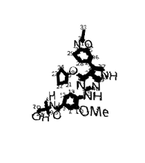 COc1cc(C(=O)NC(C)(C)CO)ccc1Nc1nc(OC2CCCC2)c2c(-c3ccc4nc(C)oc4c3)c[nH]c2n1